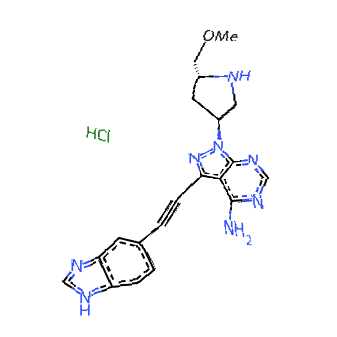 COC[C@H]1C[C@H](n2nc(C#Cc3ccc4[nH]cnc4c3)c3c(N)ncnc32)CN1.Cl